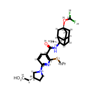 CCCSc1nc(N2CC[C@H](CC(=O)O)C2)ccc1C(=O)N[C@H]1C2CC3CC1C[C@@](OC(F)F)(C3)C2